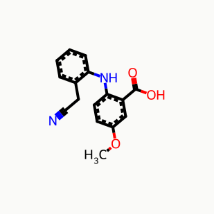 COc1ccc(Nc2ccccc2CC#N)c(C(=O)O)c1